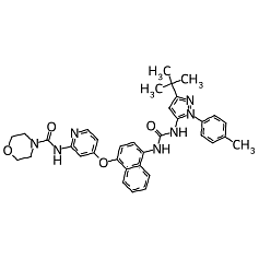 Cc1ccc(-n2nc(C(C)(C)C)cc2NC(=O)Nc2ccc(Oc3ccnc(NC(=O)N4CCOCC4)c3)c3ccccc23)cc1